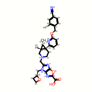 C[C@H]1[C@H]2CN(Cc3nc4oc(C(=O)O)nc4n3C[C@@H]3CCO3)CC[C@]21c1cccc(OCc2ccc(C#N)cc2F)n1